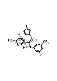 Cc1cc(NC(=O)[C@@H]2[C@@H](c3cn(C)nc3C(F)(F)F)[C@H]3O[C@@H]2C[C@@H]3O)cc(C(F)(F)F)c1